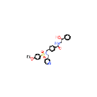 CCOc1ccc(S(=O)(=O)N(Cc2ccc(C(=O)NCC(O)c3ccccc3)cc2)Cc2cccnc2)cc1